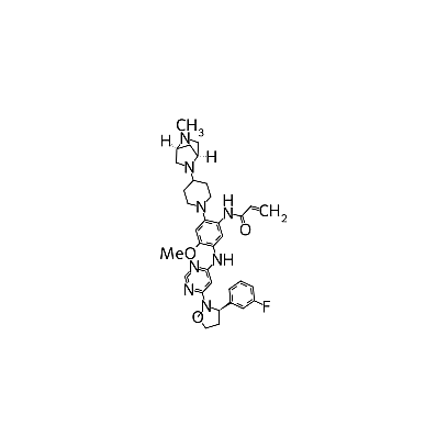 C=CC(=O)Nc1cc(Nc2cc(N3OCC[C@@H]3c3cccc(F)c3)ncn2)c(OC)cc1N1CCC(N2C[C@@H]3C[C@H]2CN3C)CC1